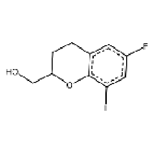 OCC1CCc2cc(F)cc(I)c2O1